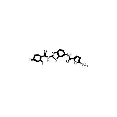 O=C(Nc1ccc2nc(NC(=O)c3ccc(F)cc3F)sc2c1)c1ccc([N+](=O)[O-])o1